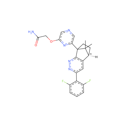 CC1(C)[C@H]2CCC1(c1cncc(OCC(N)=O)n1)c1nnc(-c3c(F)cccc3F)cc12